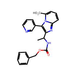 CC(NC(=O)OCc1ccccc1)c1nc2cccc(C(=O)O)n2c1-c1cccnc1